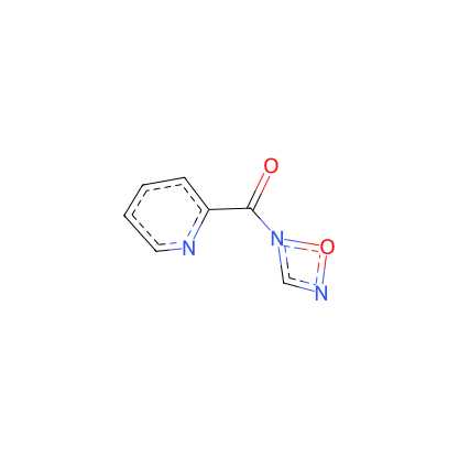 O=C(c1ccccn1)n1cno1